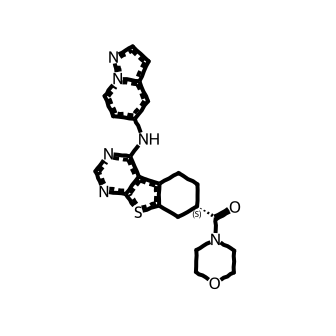 O=C([C@H]1CCc2c(sc3ncnc(Nc4ccn5nccc5c4)c23)C1)N1CCOCC1